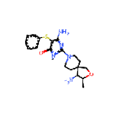 C[C@@H]1OCC2(CCN(c3nc(N)c(Sc4ccccc4)c(=O)n3C)CC2)[C@@H]1N